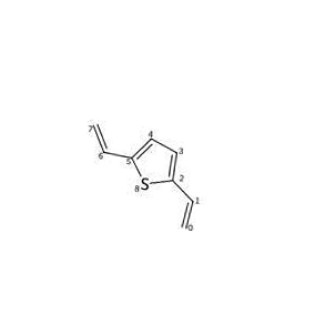 C=Cc1ccc(C=C)s1